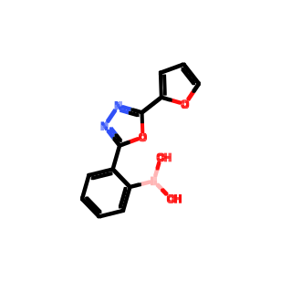 OB(O)c1ccccc1-c1nnc(-c2ccco2)o1